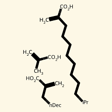 C=C(C)C(=O)O.C=C(CCCCCCCCC(C)C)C(=O)O.C=C(CCCCCCCCCCC)C(=O)O